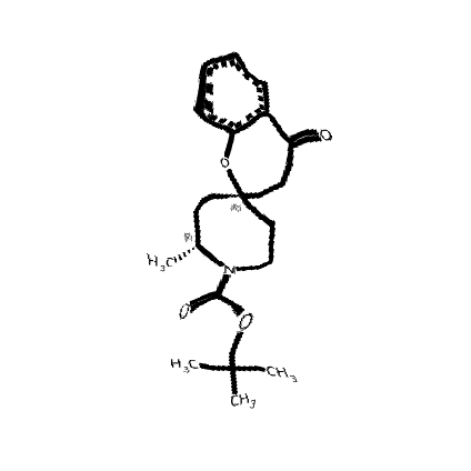 C[C@@H]1C[C@]2(CCN1C(=O)OC(C)(C)C)CC(=O)c1ccccc1O2